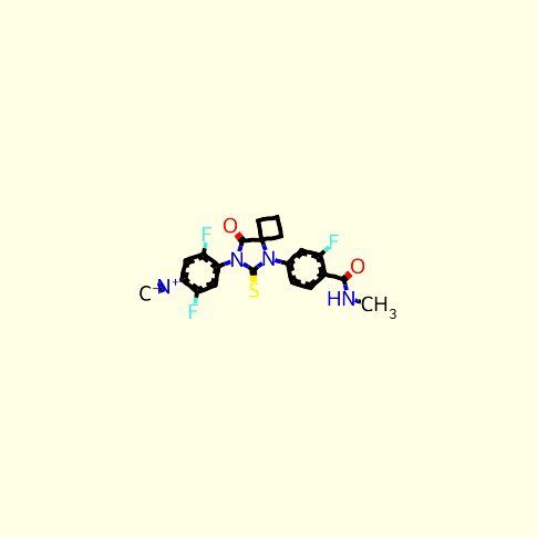 [C-]#[N+]c1cc(F)c(N2C(=O)C3(CCC3)N(c3ccc(C(=O)NC)c(F)c3)C2=S)cc1F